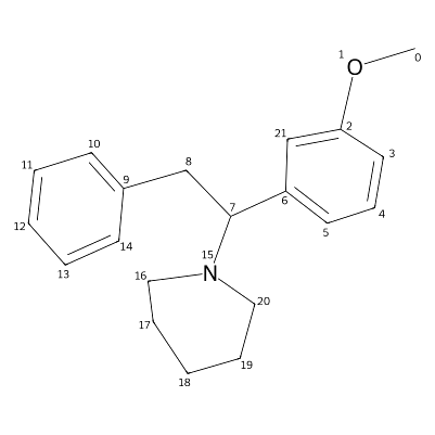 COc1cccc(C(Cc2ccccc2)N2CCCCC2)c1